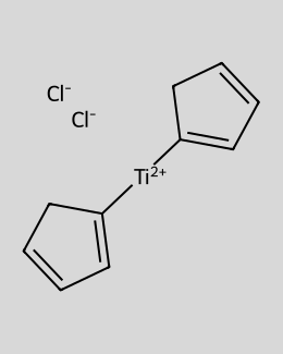 C1=CC[C]([Ti+2][C]2=CC=CC2)=C1.[Cl-].[Cl-]